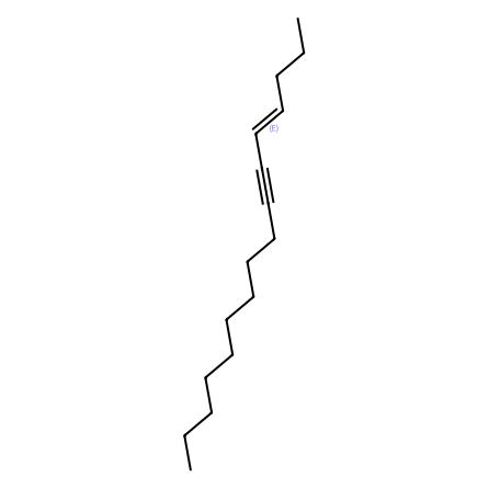 CCC/C=C/C#CCCCCCCCCC